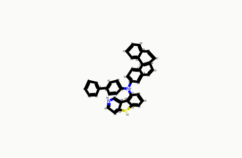 c1ccc(-c2ccc(N(c3ccc4c(ccc5ccc6ccccc6c54)c3)c3cccc4sc5ccncc5c34)cc2)cc1